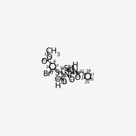 CCOC(=O)c1ccc(SC2=C(C(=O)O)N3C(=O)[C@@H](NC(=O)Cc4ccccc4)[C@@H]3SC2)c(Br)c1